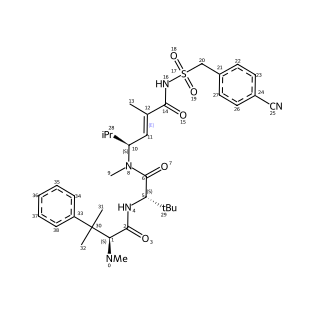 CN[C@H](C(=O)N[C@H](C(=O)N(C)[C@H](/C=C(\C)C(=O)NS(=O)(=O)Cc1ccc(C#N)cc1)C(C)C)C(C)(C)C)C(C)(C)c1ccccc1